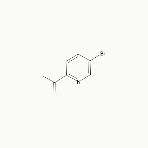 C=C(C)c1ccc(Br)cn1